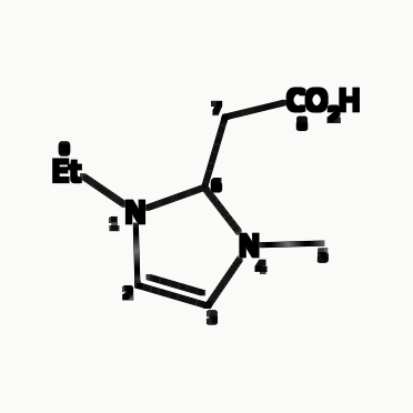 CCN1C=CN(C)C1CC(=O)O